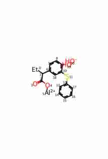 CCC(C(=O)[O][Al+2])c1cccc(Sc2ccccc2)c1.[OH-].[OH-]